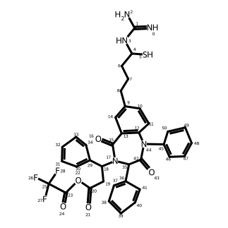 N=C(N)NC(S)CCCc1ccc2c(c1)C(=O)N(C(CC(=O)OC(=O)C(F)(F)F)c1ccccc1)C(c1ccccc1)C(=O)N2c1ccccc1